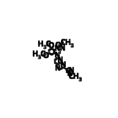 COc1cc(OC)cc(N(Cc2noc(C)n2)c2ccc3ncc(-c4cnn(C)c4)nc3n2)c1